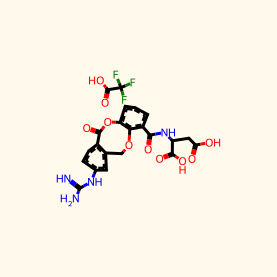 N=C(N)Nc1ccc2c(c1)COc1c(cccc1C(=O)NC(CC(=O)O)C(=O)O)OC2=O.O=C(O)C(F)(F)F